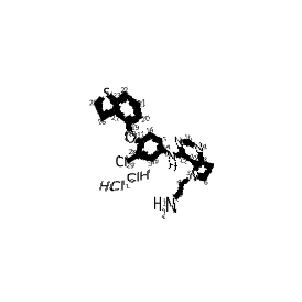 Cl.Cl.NCCn1ccc2ncnc(Nc3ccc(Oc4cccc5sccc45)c(Cl)c3)c21